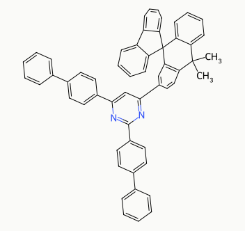 CC1(C)c2ccccc2C2(c3ccccc3-c3ccccc32)c2cc(-c3cc(-c4ccc(-c5ccccc5)cc4)nc(-c4ccc(-c5ccccc5)cc4)n3)ccc21